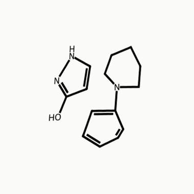 Oc1cc[nH]n1.c1ccc(N2CCCCC2)cc1